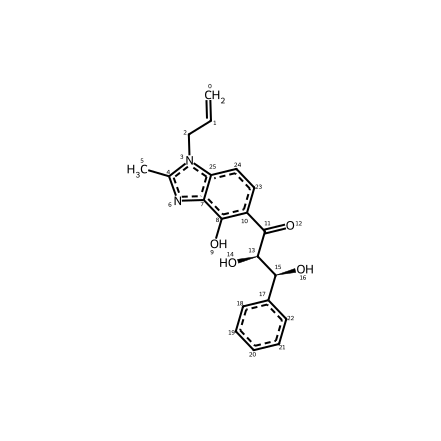 C=CCn1c(C)nc2c(O)c(C(=O)[C@H](O)[C@@H](O)c3ccccc3)ccc21